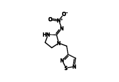 O=[N+]([O-])/N=C1\NCCN1Cc1cnsn1